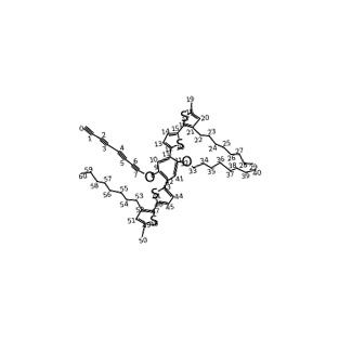 C#CC#CC#CC#COc1cc(-c2ccc(-c3sc(C)cc3CCCCCCCC)s2)c(OCCCCCCCC)cc1-c1ccc(-c2sc(C)cc2CCCCCCCC)s1